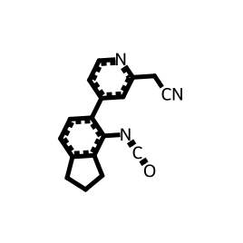 N#CCc1cc(-c2ccc3c(c2N=C=O)CCC3)ccn1